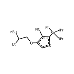 CCCCC(CC)COc1csc([Si](C(C)C)(C(C)C)C(C)C)c1C#N